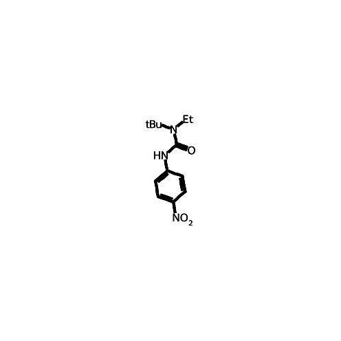 CCN(C(=O)Nc1ccc([N+](=O)[O-])cc1)C(C)(C)C